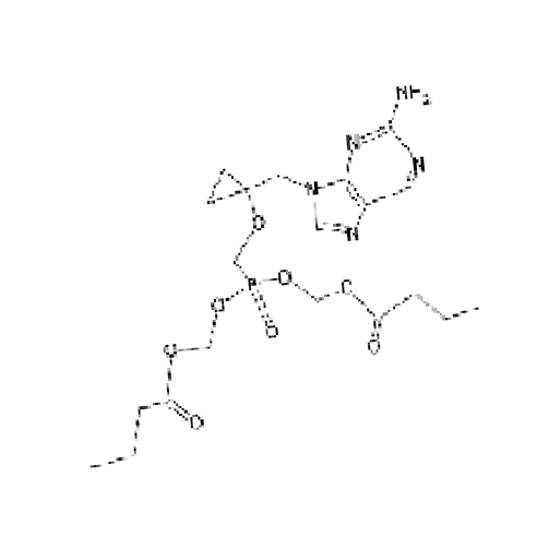 CCCC(=O)OCOP(=O)(COC1(Cn2cnc3cnc(N)nc32)CC1)OCOC(=O)CCC